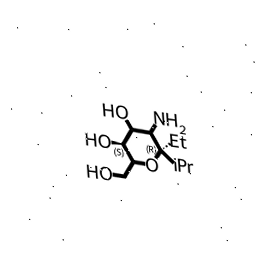 CC[C@]1(C(C)C)OC(CO)[C@@H](O)C(O)C1N